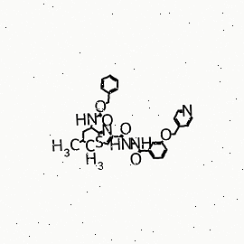 CC(C)CC(NC(=O)OCc1ccccc1)c1nc(C(=O)NNC(=O)c2cccc(OCc3ccncc3)c2)cs1